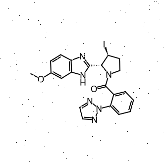 COc1ccc2nc([C@@H]3[C@@H](I)CCN3C(=O)c3ccccc3-n3nccn3)[nH]c2c1